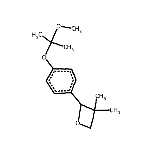 COC(C)(C)Oc1ccc(C2OCC2(C)C)cc1